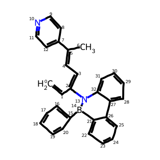 C=C/C(=C\C=C(/C)c1ccncc1)N1B(c2ccccc2)c2ccccc2-c2ccccc21